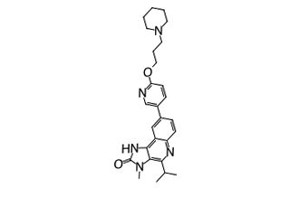 CC(C)c1nc2ccc(-c3ccc(OCCCN4CCCCC4)nc3)cc2c2[nH]c(=O)n(C)c12